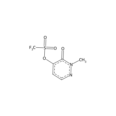 Cn1nccc(OS(=O)(=O)C(F)(F)F)c1=O